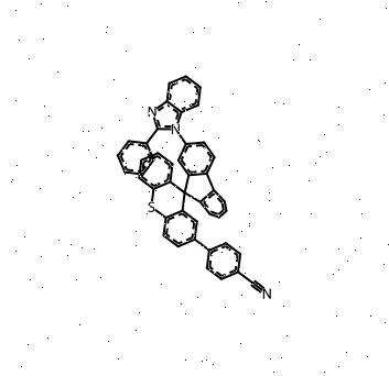 N#Cc1ccc(-c2ccc3c(c2)C2(c4ccccc4S3)c3ccccc3-c3ccc(-n4c(-c5ccccc5)nc5ccccc54)cc32)cc1